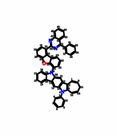 C1=Cc2c(n(-c3ccccc3)c3cc4c5ccccc5n(-c5cccc6c5oc5cccc(-c7nc(-c8ccccc8)c8ccccc8n7)c56)c4cc23)C=CC1